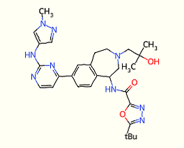 Cn1cc(Nc2nccc(-c3ccc4c(c3)CCN(CC(C)(C)O)CC4NC(=O)c3nnc(C(C)(C)C)o3)n2)cn1